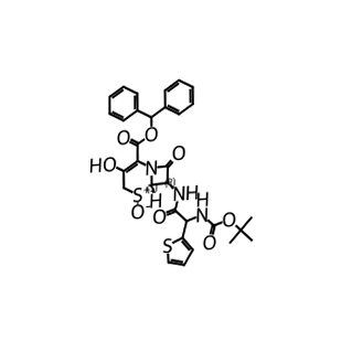 CC(C)(C)OC(=O)NC(C(=O)N[C@@H]1C(=O)N2C(C(=O)OC(c3ccccc3)c3ccccc3)=C(O)C[S+]([O-])[C@@H]12)c1cccs1